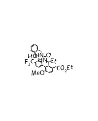 CCOC(=O)Cc1ccc(OC)c(-c2ccc(C(F)(F)F)cc2)c1C(CC)NC(=O)NCc1ccccc1O